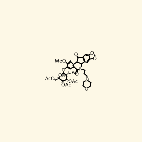 COc1cc2c(cc1O[C@@H]1O[C@H](COC(C)=O)[C@H](OC(C)=O)[C@H](OC(C)=O)[C@H]1OC(C)=O)C(=O)N(CCCN1CCOCC1)C1c3cc4c(cc3C(=O)C21)OCO4